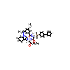 COC(=O)[C@H](Cc1c[nH]c2ccccc12)NC(=O)[C@H](CSc1ccc(-c2ccccc2)cc1)N(C)C(=O)c1cc(C)cc(C)c1